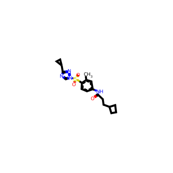 Cc1cc(NC(=O)CCC2CCC2)ccc1S(=O)(=O)n1cnc(C2CC2)n1